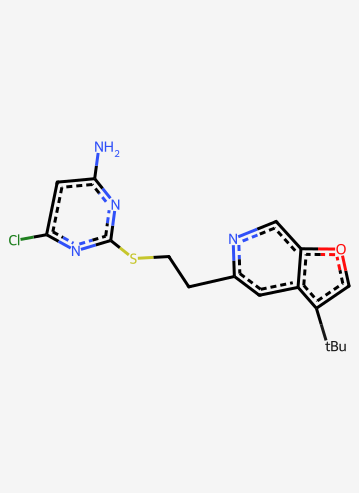 CC(C)(C)c1coc2cnc(CCSc3nc(N)cc(Cl)n3)cc12